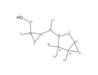 CC(C1CC1(C)CO)C1CC2CC2(C)C1(C)C